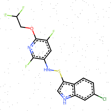 Fc1cc(NSc2c[nH]c3cc(Cl)ccc23)c(F)nc1OCC(F)F